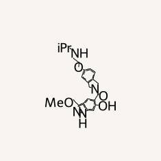 COCc1n[nH]c2cc(O)c(C(=O)N3Cc4ccc(OCCNC(C)C)cc4C3)cc12